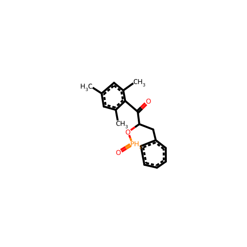 Cc1cc(C)c(C(=O)C(Cc2ccccc2)O[PH2]=O)c(C)c1